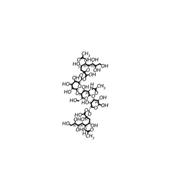 CC(=O)N[C@H]1[C@H](O[C@H]2[C@@H](O)[C@@H](CO[C@]3(C(=O)O)C[C@H](O)[C@@H](NC(C)=O)[C@H]([C@H](O)[C@H](O)CO)O3)OC(O)[C@@H]2O)O[C@H](CO)[C@@H](O[C@@H]2O[C@H](CO[C@]3(C(=O)O)C[C@H](O)[C@@H](NC(C)=O)[C@H]([C@H](O)[C@H](O)CO)O3)[C@H](O)[C@H](O)[C@H]2O)[C@@H]1O